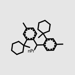 CCCC(c1ccc(C)cc1C1(C)CCCCC1)c1ccc(C)cc1C1(C)CCCCC1